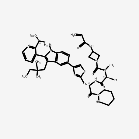 C=CC(=O)NC1CN(C(=O)N(C)[C@H](C(=O)N[C@@H](Cc2nc(-c3ccc4c(c3)c(CC(C)(C)COC(C)=O)c(-c3cccnc3[C@H](C)OC)n4CC)cs2)C(=O)N2CCCCN2)C(C)C)C1